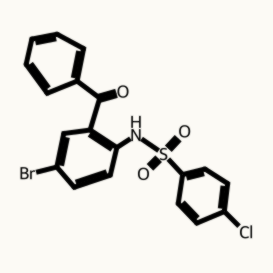 O=C(c1ccccc1)c1cc(Br)ccc1NS(=O)(=O)c1ccc(Cl)cc1